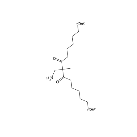 CCCCCCCCCCCCCCCC(=O)C(C)(CN)C(=O)CCCCCCCCCCCCCCC